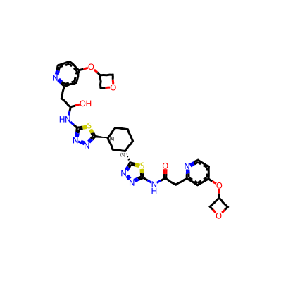 O=C(Cc1cc(OC2COC2)ccn1)Nc1nnc([C@H]2CCC[C@H](c3nnc(NC(O)Cc4cc(OC5COC5)ccn4)s3)C2)s1